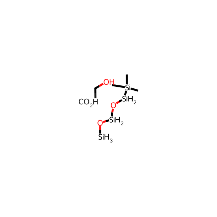 C[Si](C)(C)[SiH2]O[SiH2]O[SiH3].O=C(O)CO